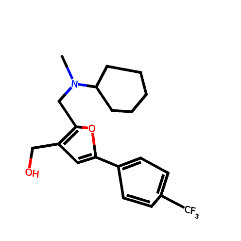 CN(Cc1oc(-c2ccc(C(F)(F)F)cc2)cc1CO)C1CCCCC1